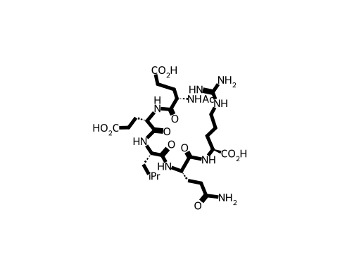 CC(=O)N[C@@H](CCC(=O)O)C(=O)N[C@@H](CCC(=O)O)C(=O)N[C@@H](CC(C)C)C(=O)N[C@@H](CCC(N)=O)C(=O)N[C@@H](CCCNC(=N)N)C(=O)O